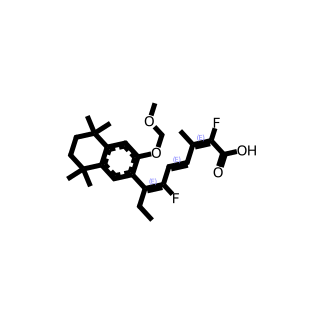 CC/C(=C(F)/C=C/C(C)=C(/F)C(=O)O)c1cc2c(cc1OCOC)C(C)(C)CCC2(C)C